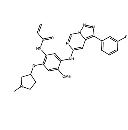 C=CC(=O)Nc1cc(Nc2cc3c(-c4cccc(F)c4)nnn3cn2)c(OC)cc1OC1CCN(C)C1